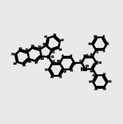 c1ccc(C2=NC(c3ccc4c(-n5c6ccccc6c6cc7ccccc7cc65)cccc4c3)NC(c3ccccc3)=N2)cc1